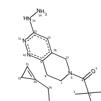 CC(C)(C)C(=O)N1CCc2nnc(NN)cc2C1.CCC1=CC1